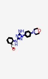 Nc1nc(NC2C=CC=CC2=C=O)nn1-c1ccc(N2CCOCC2)cc1